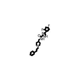 O=C(NCC1CCN(C/C=C/c2ccccc2)CC1)c1nc(-c2ccc(F)cc2F)c[nH]1